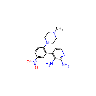 CN1CCN(c2ccc([N+](=O)[O-])cc2-c2ccnc(N)c2N)CC1